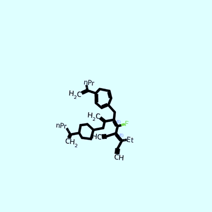 C#C/C(CC)=C(C#C)/C(F)=C(/CC1=CC=C(C(=C)CCC)CC=C1)C(=C)CC1CCC(C(=C)CCC)CC1